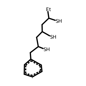 CCC(S)CC(S)CC(S)Cc1cc[c]cc1